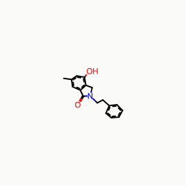 Cc1cc(O)c2c(c1)C(=O)N(CCc1ccccc1)C2